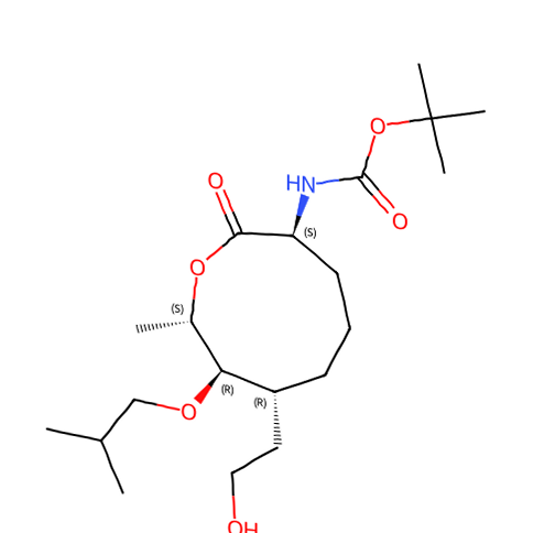 CC(C)CO[C@@H]1[C@@H](CCO)CCC[C@H](NC(=O)OC(C)(C)C)C(=O)O[C@H]1C